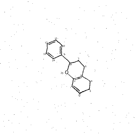 C1=CC2=C(CC1)CCC(c1ccccc1)O2